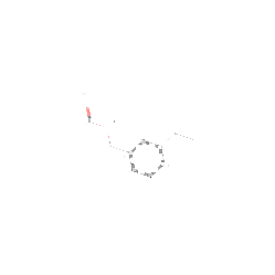 CCc1cccc(COC=O)c1